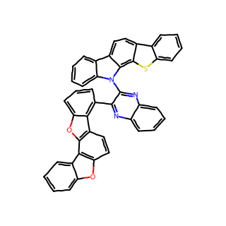 c1ccc2nc(-n3c4ccccc4c4ccc5c6ccccc6sc5c43)c(-c3cccc4oc5c(ccc6oc7ccccc7c65)c34)nc2c1